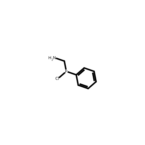 NCP(Cl)c1ccccc1